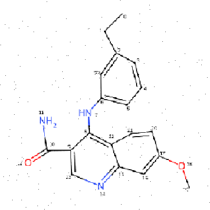 CCc1cccc(Nc2c(C(N)=O)cnc3cc(OC)ccc23)c1